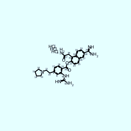 Cl.Cl.Cl.N=C(N)Nc1cc(CCN2CCCC2)ccc1C(=O)Oc1ccc2cc(C(=N)N)ccc2c1CC(N)=O